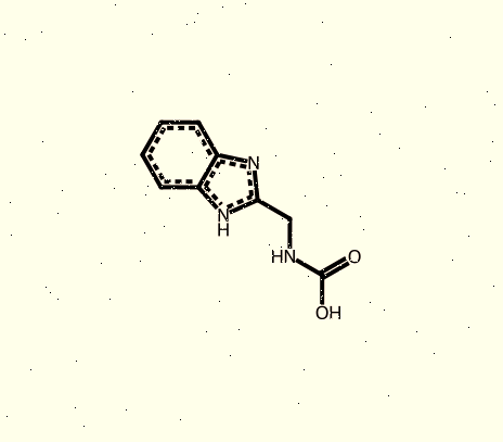 O=C(O)NCc1nc2ccccc2[nH]1